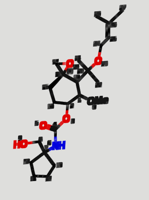 COC1C(OC(=O)NC2(CO)CCCC2)CC[C@]2(CO2)C1C(C)(C)OCC=C(C)C